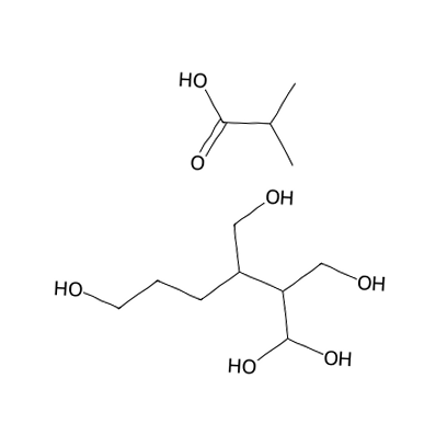 CC(C)C(=O)O.OCCCC(CO)C(CO)C(O)O